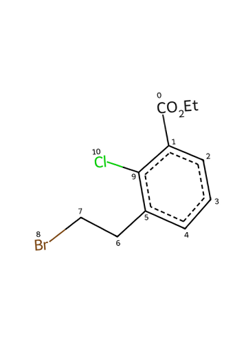 CCOC(=O)c1cccc(CCBr)c1Cl